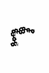 c1ccc(-c2ccc(-c3ccc4ccc5c(-c6ccc7ccc8ccc(-c9ccc(-c%10cncc%11ccccc%10%11)cc9)nc8c7n6)ccc6ccc3c4c65)cn2)cc1